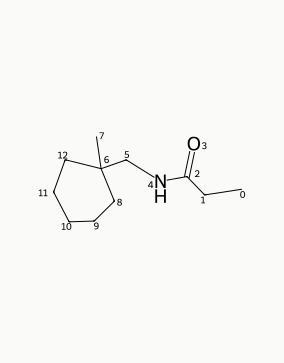 CCC(=O)NCC1(C)CCCCC1